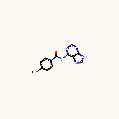 Cc1ccc(C(=O)Nc2ncnc3[nH]cnc23)cc1